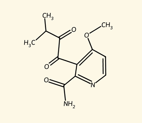 COc1ccnc(C(N)=O)c1C(=O)C(=O)C(C)C